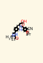 CCC(=O)c1nc(-c2ccc(C[C@@H](CCO)NC(=O)c3ccc(OC(C)C)c(C#N)c3)cc2)cn1C